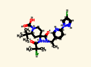 CC(NC(=O)C1(NC(=O)C(C)(C)Br)CCN(C(=O)O)C(C(C)(C)C)C1)c1ccc(-n2cc(F)cn2)nc1